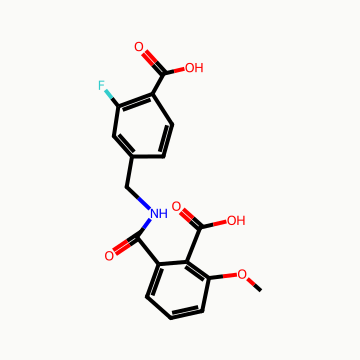 COc1cccc(C(=O)NCc2ccc(C(=O)O)c(F)c2)c1C(=O)O